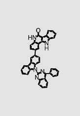 O=c1[nH]c2ccc(-c3ccc4c(c3)c3ccccc3n4-c3nc(-c4ccccc4)c4ccccc4n3)cc2c2[nH]c3ccccc3c12